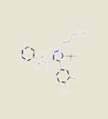 COc1ccc(-c2c(NS(=O)(=O)c3ccccc3)nn(CCCO)c2C(F)(F)F)cc1C